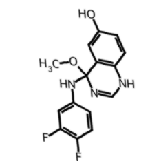 COC1(Nc2ccc(F)c(F)c2)N=CNc2ccc(O)cc21